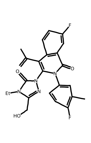 C=C(C)c1c(-n2nc(CO)n(CC)c2=O)n(-c2ccc(F)c(C)c2)c(=O)c2cc(F)ccc12